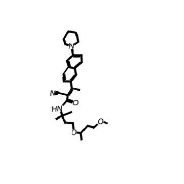 COCCC(C)OCCC(C)(C)NC(=O)/C(C#N)=C(\C)c1ccc2cc(N3CCCCC3)ccc2c1